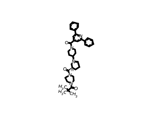 CC(C)(C)C(=O)N1CCN(C(=O)[C@@H]2CCCN(C3CCN(C(=O)c4cc(-c5ccccc5)nc(-c5ccccc5)c4)CC3)C2)CC1